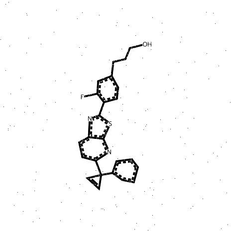 OCCCc1ccc(-c2nc3ccc(C4(c5ccccc5)C=C4)nc3s2)c(F)c1